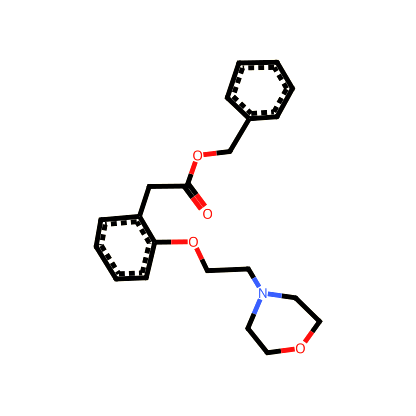 O=C(Cc1ccccc1OCCN1CCOCC1)OCc1ccccc1